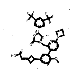 COc1ccc(C2CC(=CC(=O)O)C2)cc1-c1ccc(N2CCC2)nc1CN1C(=O)O[C@H](c2cc(C(F)(F)F)cc(C(F)(F)F)c2)[C@@H]1C